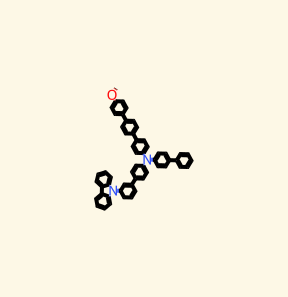 COc1ccc(-c2ccc(-c3ccc(N(c4ccc(C5=CC(n6c7ccccc7c7ccccc76)CC=C5)cc4)c4ccc(-c5ccccc5)cc4)cc3)cc2)cc1